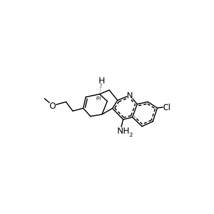 COCCC1=C[C@H]2Cc3nc4cc(Cl)ccc4c(N)c3C(C1)C2